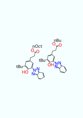 CCCCCCCCOC(=O)CCc1cc(-n2nc3ccccc3n2)c(O)c(C(C)(C)C)c1.CCCCOC(=O)CCc1cc(-n2nc3ccccc3n2)c(O)c(C(C)(C)C)c1